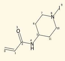 C=CC(=O)NC1CCN(I)CC1